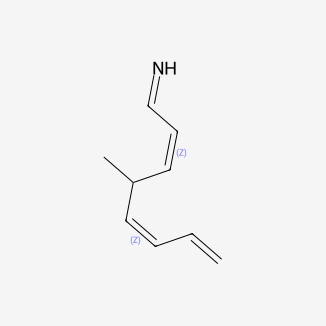 C=C/C=C\C(C)/C=C\C=N